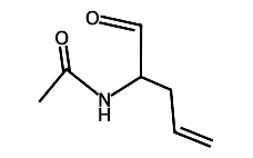 C=CCC(C=O)NC(C)=O